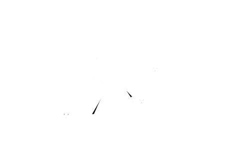 COC[C@H]1O[CH]C[C@H](OC)[C@H]1OC